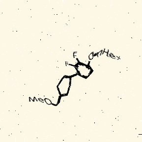 CCCCCCOc1ccc(C2CCC(=COC)CC2)c(F)c1F